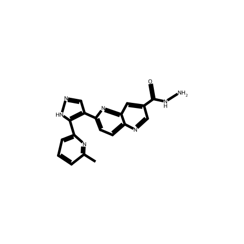 Cc1cccc(-c2[nH]ncc2-c2ccc3ncc(C(=O)NN)cc3n2)n1